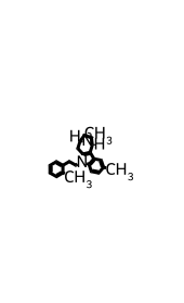 Cc1ccc2c(c1)c1c(n2CCc2ccccc2C)C[C@H]2CC[C@@H]1N2C